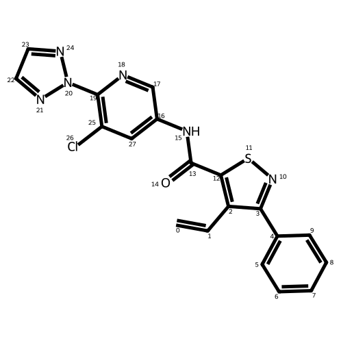 C=Cc1c(-c2ccccc2)nsc1C(=O)Nc1cnc(-n2nccn2)c(Cl)c1